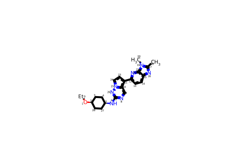 CCO[C@H]1CC[C@@H](Nc2ncc3c(-c4ccc5nc(C)n(C)c5n4)ccn3n2)CC1